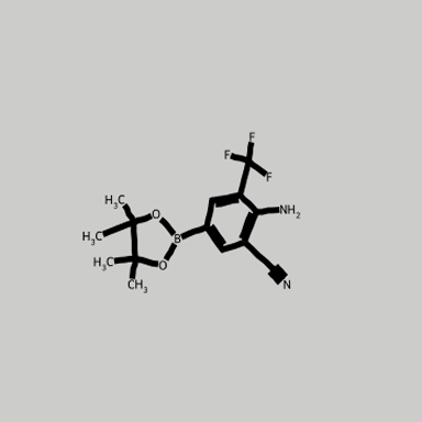 CC1(C)OB(c2cc(C#N)c(N)c(C(F)(F)F)c2)OC1(C)C